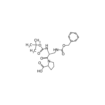 CC(C)(C)OC(=O)NC(CNC(=O)OCc1ccccc1)C(=O)N1CCCC1C(=O)O